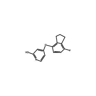 Oc1cc(Oc2ccc(F)c3c2CCC3)ccn1